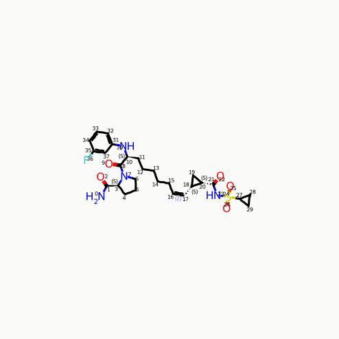 NC(=O)[C@@H]1CCCN1C(=O)[C@H](CCCCC/C=C\[C@@H]1C[C@@H]1C(=O)NS(=O)(=O)C1CC1)Nc1cccc(F)c1